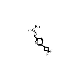 CC(C)(C)[S+]([O-])N=Cc1ccc(C2CC(F)(F)C2)cn1